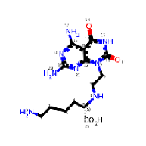 NCCCC[C@H](NCCn1c(=O)[nH]c(=O)c2c(N)nc(N)nc21)C(=O)O